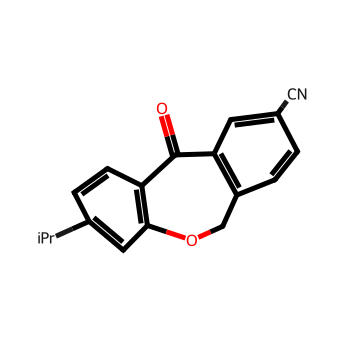 CC(C)c1ccc2c(c1)OCc1ccc(C#N)cc1C2=O